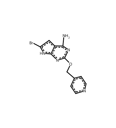 Nc1nc(OCc2ccncc2)nc2[nH]c(Br)cc12